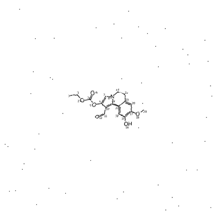 CCOC(=O)Oc1cn2c(c1C=O)-c1cc(O)c(OC)cc1CC2